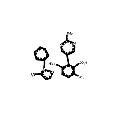 COc1ncc(-c2c(C(=O)O)ccc(C)c2C(=O)O)cn1.Nc1ccnn1-c1ccccc1